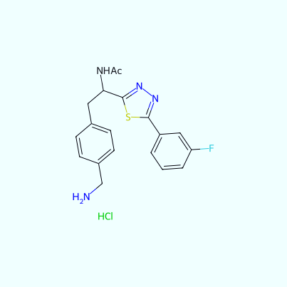 CC(=O)NC(Cc1ccc(CN)cc1)c1nnc(-c2cccc(F)c2)s1.Cl